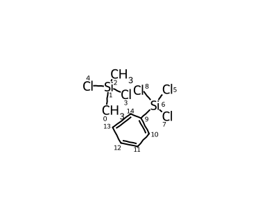 C[Si](C)(Cl)Cl.Cl[Si](Cl)(Cl)c1ccccc1